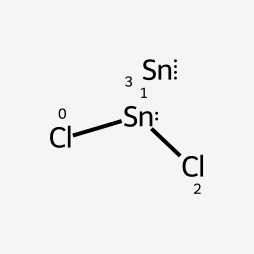 [Cl][Sn][Cl].[Sn]